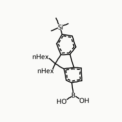 CCCCCCC1(CCCCCC)c2cc(B(O)O)ccc2-c2ccc([Si](C)(C)C)cc21